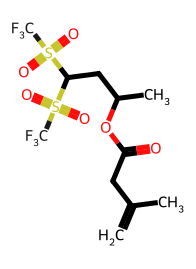 C=C(C)CC(=O)OC(C)CC(S(=O)(=O)C(F)(F)F)S(=O)(=O)C(F)(F)F